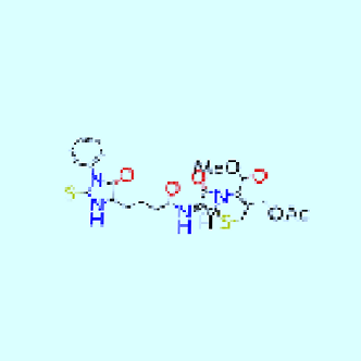 COC(=O)C1=C(COC(C)=O)CS[C@@H]2[C@H](NC(=O)CCCC3NC(=S)N(c4ccccc4)C3=O)C(=O)N12